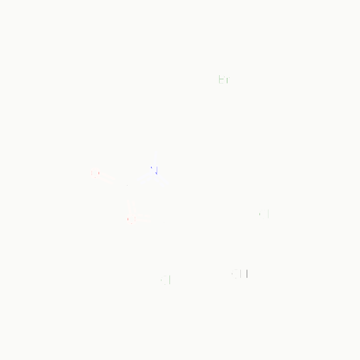 Cc1c(Cl)cc2c(oc(=O)n2CCCBr)c1Cl